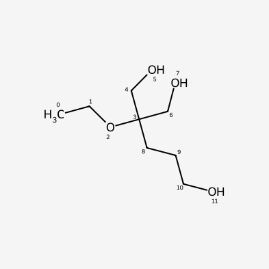 CCOC(CO)(CO)CCCO